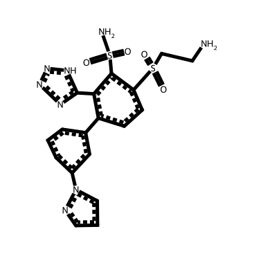 NCCS(=O)(=O)c1ccc(-c2cccc(-n3cccn3)c2)c(-c2nnn[nH]2)c1S(N)(=O)=O